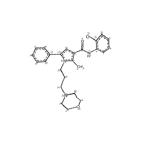 Cc1c(C(=O)Nc2ccccc2Cl)cc(-c2ccccc2)n1CCCN1CCOCC1